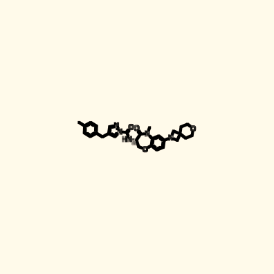 Cc1ccc(Cc2cnn(C(=O)N[C@H]3COc4ccc(N5CC6(CCOCC6)C5)cc4N(C)C3=O)c2)cc1